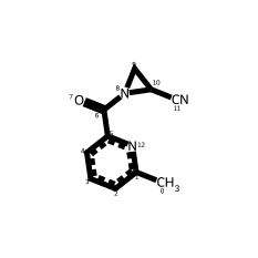 Cc1cccc(C(=O)N2CC2C#N)n1